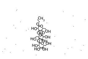 CCCO[C@@H]1OC(CO)[C@@H](O[C@@H]2OC(CO)[C@H](O[C@H]3OC(CO)[C@H](O)[C@H](O)C3O)[C@H](O)C2O)[C@H](O)C1O